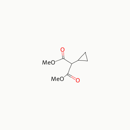 COC(=O)C(C(=O)OC)C1CC1